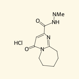 CNNC(=O)c1cc(=O)n2c(n1)CCCCC2.Cl